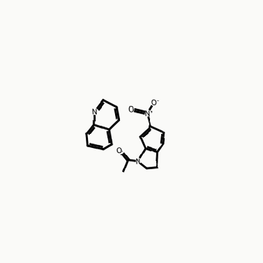 CC(=O)N1CCc2ccc([N+](=O)[O-])cc21.c1ccc2ncccc2c1